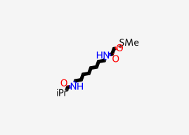 CSOCC(=O)NCCCCCCCCNC(=O)C(C)C